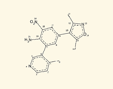 Cc1ccncc1-c1cc(-c2c(C)noc2C)cc([N+](=O)[O-])c1N